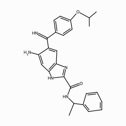 CC(C)Oc1ccc(C(=N)c2cc3nc(C(=O)NC(C)c4ccccc4)[nH]c3cc2N)cc1